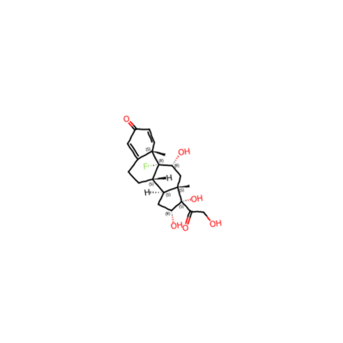 C[C@]12C=CC(=O)C=C1CC[C@H]1[C@@H]3C[C@@H](O)[C@](O)(C(=O)CO)[C@@]3(C)C[C@@H](O)[C@@]12F